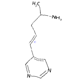 CC(N)C/C=C/c1cncnc1